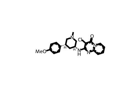 COc1ccc([C@H]2C[C@@H](Nc3nc4ccccn4c(=O)c3Cl)CN(C)C2)cc1